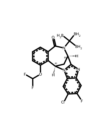 BC(B)(B)N1C(=O)c2cccc(OC(F)F)c2[C@H]2C[C@@H]1c1nc3cc(F)c(Cl)cc3n12